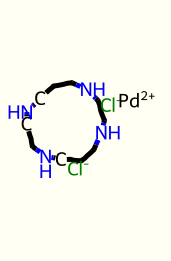 C1CNCCNCCCNCCNC1.[Cl-].[Cl-].[Pd+2]